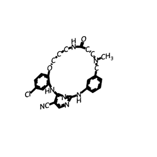 CN1CCC(=O)NCCCOc2ccc(Cl)cc2Nc2nc(ncc2C#N)Nc2cccc(c2)C1